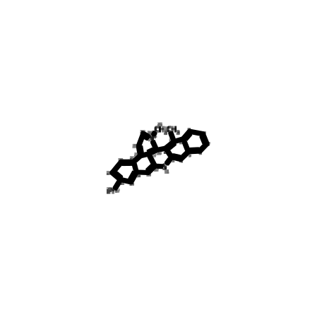 Cc1c2c(cc3ccccc13)Sc1cc3cc(C(C)C)ccc3c3cc[n+](C)c-2c13